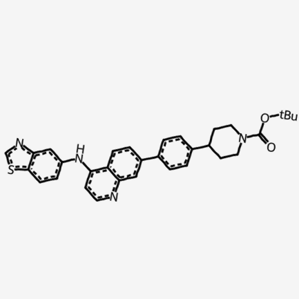 CC(C)(C)OC(=O)N1CCC(c2ccc(-c3ccc4c(Nc5ccc6scnc6c5)ccnc4c3)cc2)CC1